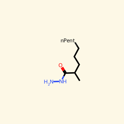 CCCCCCCCC(C)C(=O)NN